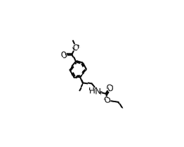 CCOC(=O)NCC(C)c1ccc(C(=O)OC)cc1